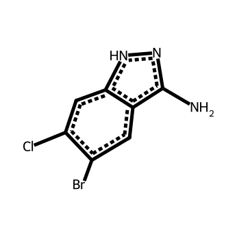 Nc1n[nH]c2cc(Cl)c(Br)cc12